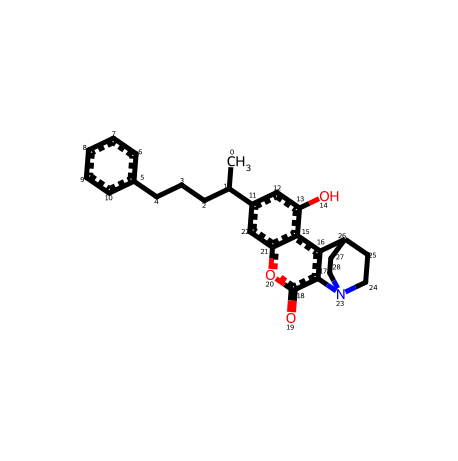 CC(CCCc1ccccc1)c1cc(O)c2c3c(c(=O)oc2c1)N1CCC3CC1